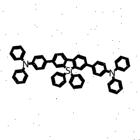 c1ccc(N(c2ccccc2)c2ccc(-c3ccc4c(c3)[Si](c3ccccc3)(c3ccccc3)c3cc(-c5ccc(N(c6ccccc6)c6ccccc6)cc5)ccc3-4)cc2)cc1